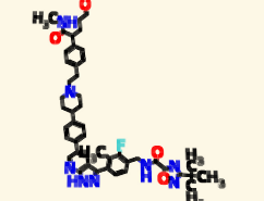 CNC(=O)C(CCC=O)c1ccc(CCN2CCC(c3ccc(-c4cnc5[nH]nc(-c6ccc(CNC(=O)c7nc(C(C)(C)C)no7)c(F)c6C)c5c4)cc3)CC2)cc1